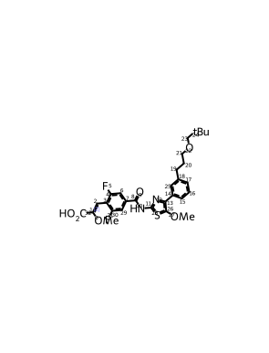 CO/C(=C\c1c(F)cc(C(=O)Nc2nc(-c3cccc(CCCOCC(C)(C)C)c3)c(OC)s2)cc1F)C(=O)O